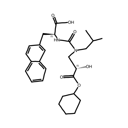 CC(C)CN(C[C@H](O)C(=O)OC1CCCCC1)C(=O)N[C@@H](Cc1ccc2ccccc2c1)C(=O)O